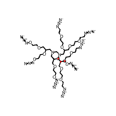 [N-]=[N+]=NCCOCCOCC(CN(CC(COCCOCCN=[N+]=[N-])OCCOCCN=[N+]=[N-])CN(CC(COCCON=[N+]=[N-])OCCON=[N+]=[N-])CC(COCCON=[N+]=[N-])OCCON=[N+]=[N-])OCCOCCN=[N+]=[N-]